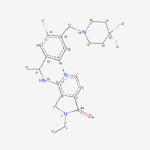 CCN1Cc2c(ccnc2NC(C)c2ccc(CN3CCC(F)(F)CC3)c(F)c2)C1=O